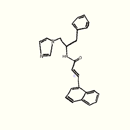 O=C(/C=C/c1cccc2ccccc12)NC(Cc1ccccc1)Cn1ccnc1